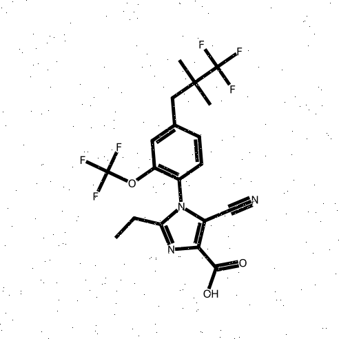 CCc1nc(C(=O)O)c(C#N)n1-c1ccc(CC(C)(C)C(F)(F)F)cc1OC(F)(F)F